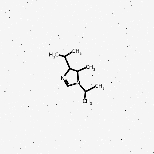 CC(C)C1N=CN(C(C)C)C1C